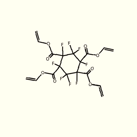 C=COC(=O)C1(F)C(F)(F)C(F)(C(=O)OC=C)C(F)(C(=O)OC=C)C(F)(F)C1(F)C(=O)OC=C